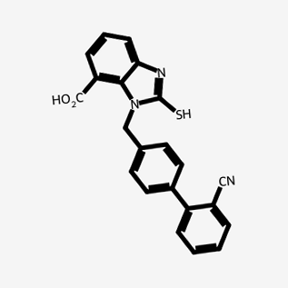 N#Cc1ccccc1-c1ccc(Cn2c(S)nc3cccc(C(=O)O)c32)cc1